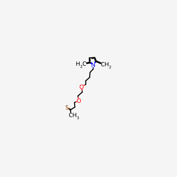 C=c1ccc(=C)n1CCCCCOCCOCCC(C)=S